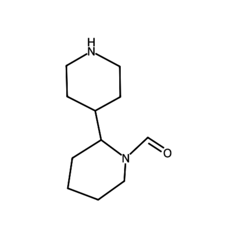 O=CN1CCCCC1C1CCNCC1